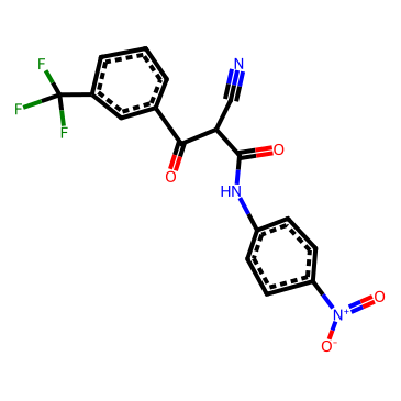 N#CC(C(=O)Nc1ccc([N+](=O)[O-])cc1)C(=O)c1cccc(C(F)(F)F)c1